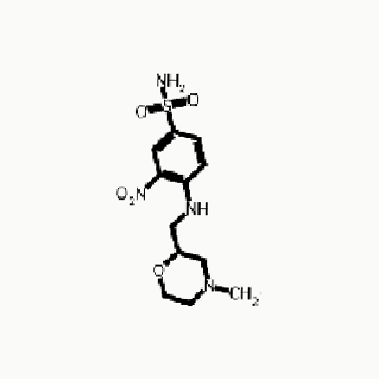 [CH2]N1CCOC(CNc2ccc(S(N)(=O)=O)cc2[N+](=O)[O-])C1